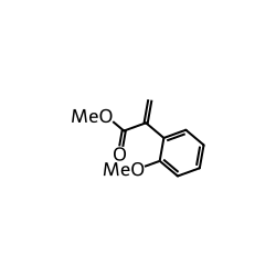 C=C(C(=O)OC)c1ccccc1OC